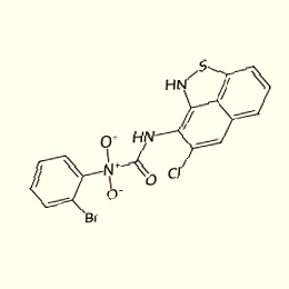 O=C(Nc1c(Cl)cc2cccc3c2c1NS3)[N+]([O-])([O-])c1ccccc1Br